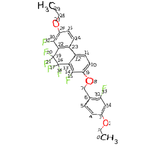 CCOc1ccc(COc2ccc3c(c2F)C(F)(F)C(F)(F)c2c-3ccc(OCC)c2F)c(F)c1